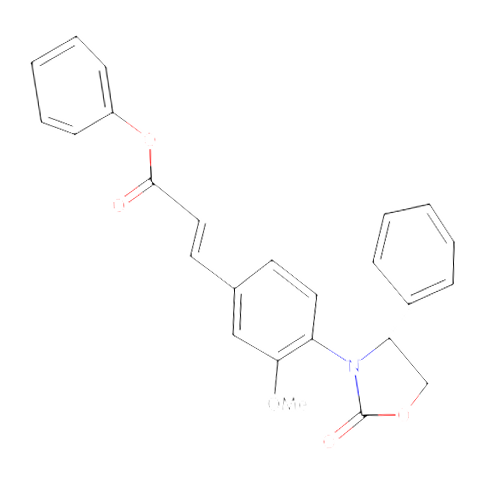 COc1cc(/C=[C]/C(=O)Oc2ccccc2)ccc1N1C(=O)OC[C@H]1c1ccccc1